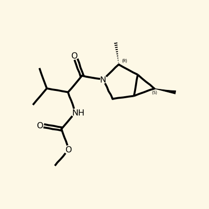 COC(=O)NC(C(=O)N1CC2C([C@H]2C)[C@H]1C)C(C)C